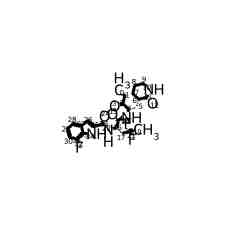 CCC(=O)[C@H](C[C@@H]1CCCNC1=O)NC(=O)[C@H](CC(C)(F)F)NC(=O)c1cc2cccc(F)c2[nH]1